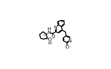 O=C(N[C@H]1CCCC[C@H]1O)c1cc(Cc2ccc(Cl)nc2)c2ccccc2n1